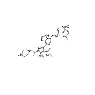 COc1ccc(F)cc1C(=O)NCc1ccc(-c2nn(C(C)CN3CCN(C)CC3)c(N)c2C(N)=O)c2cc[nH]c12